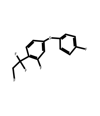 FCC(F)(F)c1ccc(Sc2ccc(F)cc2)cc1F